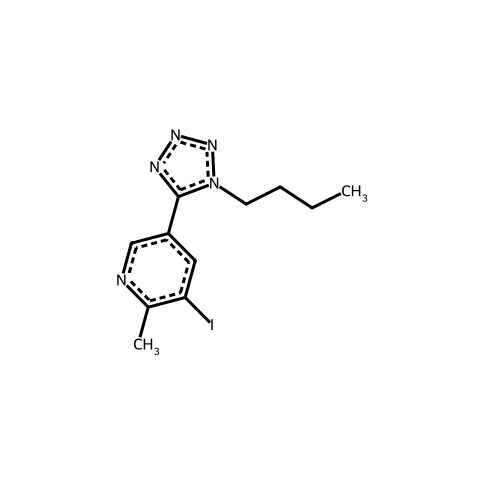 CCCCn1nnnc1-c1cnc(C)c(I)c1